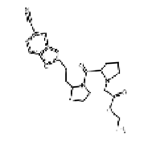 CCOC(=O)CN1CCCC1C(=O)N1CCCC1CCc1cc2cc(C#N)ccc2o1